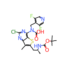 Cc1c(C[C@H](C)NC(=O)OC(C)(C)C)sc2c(N(Cc3c(F)cncc3F)C(=O)O)nc(Cl)nc12